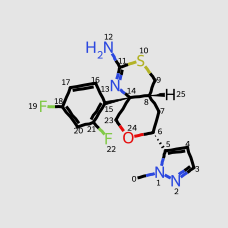 Cn1nccc1[C@H]1C[C@H]2CSC(N)=N[C@@]2(c2ccc(F)cc2F)CO1